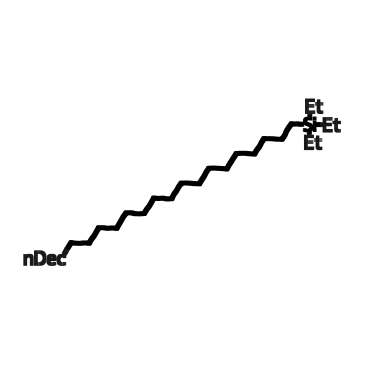 [CH2]CCCCCCCCCCCCCCCCCCCCCCCCCC[Si](CC)(CC)CC